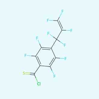 FC(F)=C(F)C(F)(F)c1c(F)c(F)c(C(=S)Cl)c(F)c1F